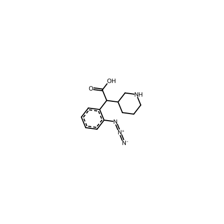 [N-]=[N+]=Nc1ccccc1C(C(=O)O)C1CCCNC1